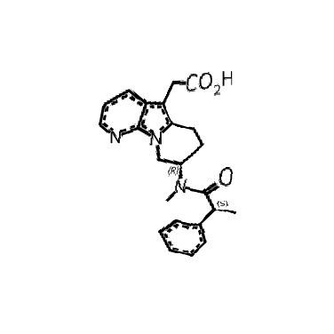 C[C@H](C(=O)N(C)[C@@H]1CCc2c(CC(=O)O)c3cccnc3n2C1)c1ccccc1